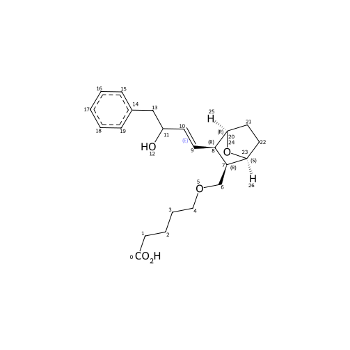 O=C(O)CCCCOC[C@H]1[C@@H](/C=C/C(O)Cc2ccccc2)[C@H]2CC[C@@H]1O2